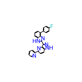 Fc1ccc(-c2cccc3[nH]c(-c4n[nH]c5ccc(-c6ccccn6)nc45)nc23)cc1